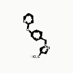 O=C(O)c1cnn(Cc2ccc(Oc3ccccn3)cc2)c1